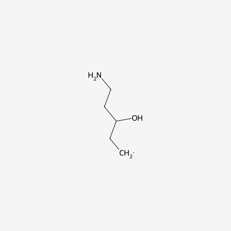 [CH2]CC(O)CCN